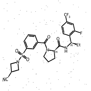 CC[C@@H](NC(=O)[C@H]1CCCN1C(=O)c1cccc(S(=O)(=O)N2CC(C#N)C2)c1)c1ccc(C(F)(F)F)cc1F